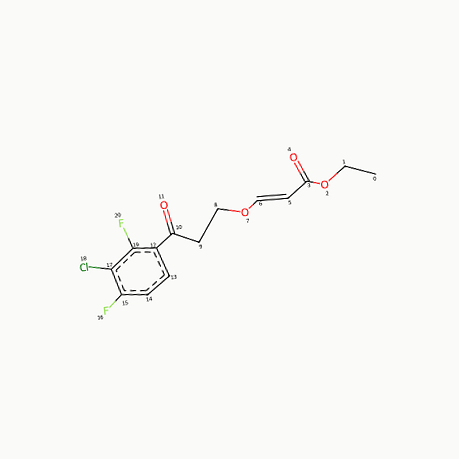 CCOC(=O)C=COCCC(=O)c1ccc(F)c(Cl)c1F